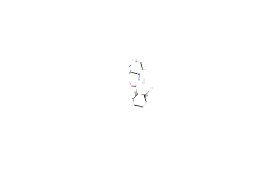 O=C(Nc1ccncc1)c1ccccc1I